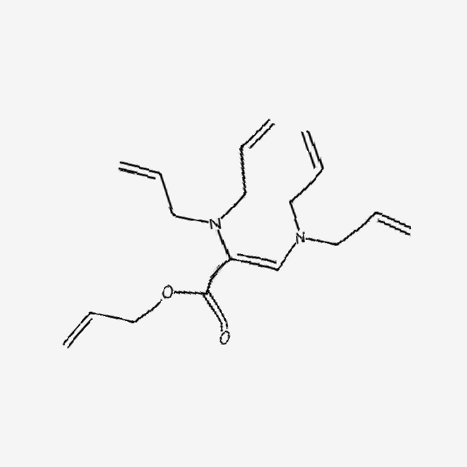 C=CCOC(=O)C(=CN(CC=C)CC=C)N(CC=C)CC=C